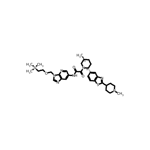 C[C@H]1CC[C@H](c2ccc3sc(C4CCN(C)CC4)nc3c2)N(C(=O)C(=O)Nc2cnc3c(c2)ncn3COCC[Si](C)(C)C)C1